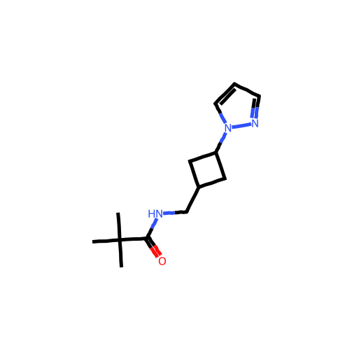 CC(C)(C)C(=O)NCC1CC(n2cccn2)C1